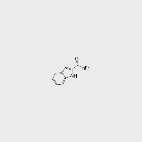 CCCC(=O)c1cc2ccccc2[nH]1